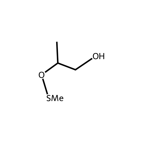 CSOC(C)CO